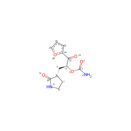 NC(=O)O[C@@H](C[C@@H]1CCNC1=O)C(=O)c1ccco1